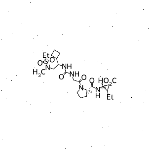 CCC1C[C@]1(NC(=O)[C@@H]1CCCN1C(=O)CNC(=O)NC(CN(C)S(=O)(=O)CC)C1CCC1)C(=O)O